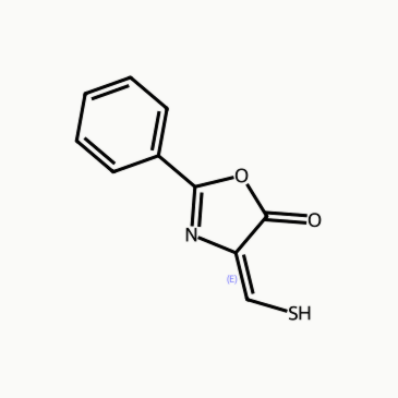 O=C1OC(c2ccccc2)=N/C1=C/S